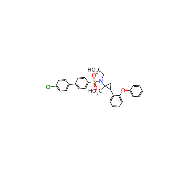 O=C(O)CN(C1(C(=O)O)CC1c1ccccc1Oc1ccccc1)S(=O)(=O)c1ccc(-c2ccc(Cl)cc2)cc1